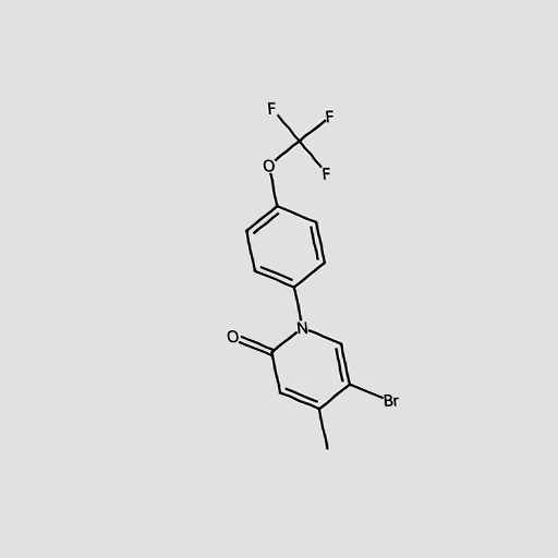 Cc1cc(=O)n(-c2ccc(OC(F)(F)F)cc2)cc1Br